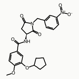 COc1ccc(C(=O)N[C@H]2CC(=O)N(Cc3cccc([N+](=O)[O-])c3)C2=O)cc1OC1CCCC1